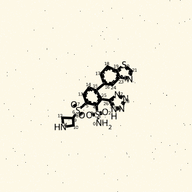 NS(=O)(=O)c1c(S(=O)(=O)C2CNC2)ccc(-c2ccc3scnc3c2)c1-c1nnn[nH]1